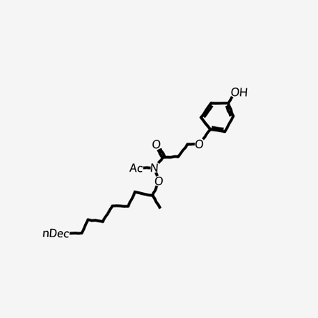 CCCCCCCCCCCCCCCCC(C)ON(C(C)=O)C(=O)CCOc1ccc(O)cc1